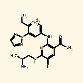 C=C(CC)/C(=C\C(=C/C)Nc1nc(NC[C@H](C)N)c(F)cc1C(N)=O)n1nccn1